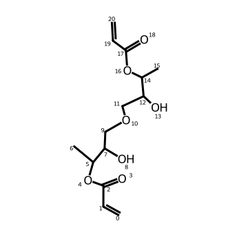 C=CC(=O)OC(C)C(O)COCC(O)C(C)OC(=O)C=C